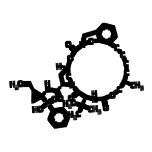 C=C[C@@H]1C[C@]1(NC(=O)[C@@H]1C[C@@H]2CN1C(=O)[C@H](C(C)(C)C)NC(=O)OC[C@H](C)CCCCc1cccc3c1CN(C3)C(=O)O2)P(=O)(O)c1ccccc1